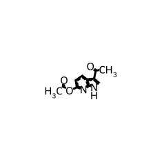 CC(=O)Oc1ccc2c(C(C)=O)c[nH]c2n1